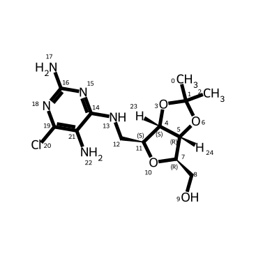 CC1(C)O[C@@H]2[C@H](O1)[C@@H](CO)O[C@H]2CNc1nc(N)nc(Cl)c1N